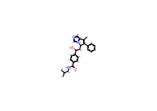 CC1=C(c2ccccc2)C(CC(O)c2ccc(C(=O)NCC(C)C)cc2)n2cncc21